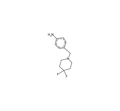 Nc1ccc(CN2CCC(F)(F)CC2)cc1